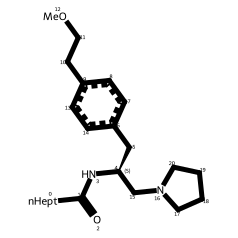 CCCCCCCC(=O)N[C@@H](Cc1ccc(CCOC)cc1)CN1CCCC1